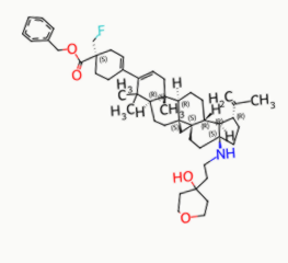 C=C(C)[C@@H]1CC[C@]2(NCCC3(O)CCOCC3)CC[C@@]34C[C@]35CC[C@H]3C(C)(C)C(C6=CC[C@](CF)(C(=O)OCc7ccccc7)CC6)=CC[C@]3(C)[C@H]5CC[C@@H]4[C@@H]12